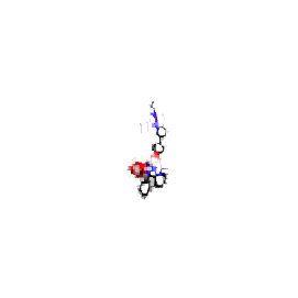 CCCNC(=O)Nc1cccc(-c2ccc(OC[C@H](NC(c3ccccc3)(c3ccccc3)c3ccccc3)C(=O)OC)cc2)c1